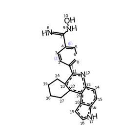 C=C(/C=C\C(=C/C)C(=N)NO)c1nc2ccc3[nH]ccc3c2c2c1CCCC2